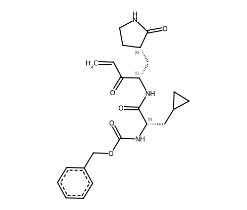 C=CC(=O)[C@H](C[C@@H]1CCNC1=O)NC(=O)[C@H](CC1CC1)NC(=O)OCc1ccccc1